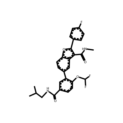 CNC(=O)c1c(-c2ccc(F)cc2)oc2ccc(-c3cc(C(=O)NCC(C)C)ccc3OC(F)F)cc12